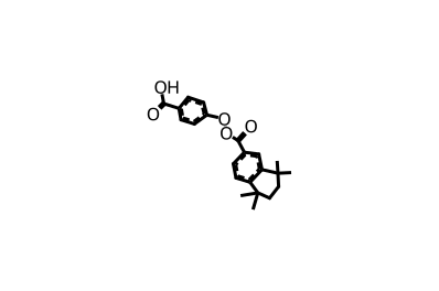 CC1(C)CCC(C)(C)c2cc(C(=O)OOc3ccc(C(=O)O)cc3)ccc21